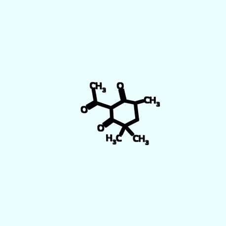 CC(=O)C1C(=O)C(C)CC(C)(C)C1=O